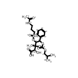 CC(=O)NCCCS(=O)(=O)OC(C(OC(=O)OCC(C)C)c1ccccc1)C(C)(C)[C@@H](O)C(=O)O